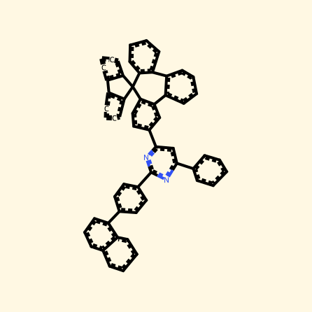 c1ccc(-c2cc(-c3ccc4c(c3)-c3ccccc3-c3ccccc3C43c4ccccc4-c4ccccc43)nc(-c3ccc(-c4cccc5ccccc45)cc3)n2)cc1